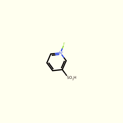 O=S(=O)(O)c1ccc[n+](F)c1